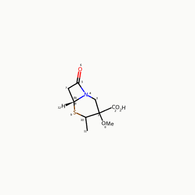 COC1(C(=O)O)CN2C(=O)C[C@H]2SC1C